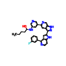 CCCCC(O)Nc1cncc(-c2cc3c(-c4cc5c(-c6cccc(F)c6)nccc5[nH]4)n[nH]c3cn2)c1